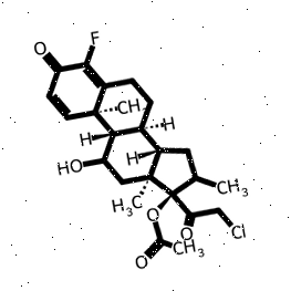 CC(=O)O[C@]1(C(=O)CCl)C(C)C[C@H]2[C@@H]3CCC4=C(F)C(=O)C=C[C@]4(C)[C@H]3C(O)C[C@@]21C